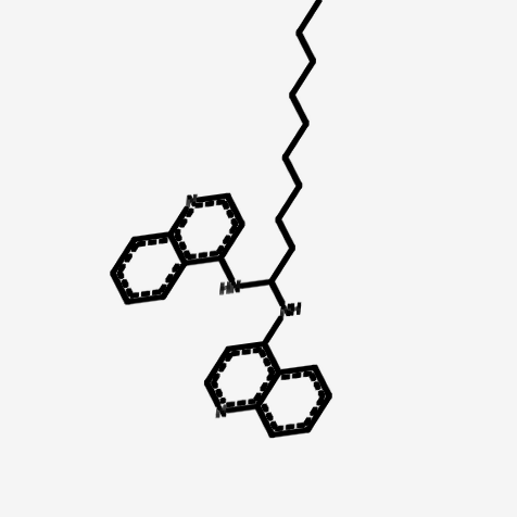 CCCCCCCCCC(Nc1ccnc2ccccc12)Nc1ccnc2ccccc12